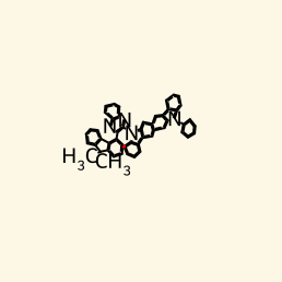 CC1(C)c2ccccc2-c2c(-c3nc4ccccc4nc3-n3c4ccccc4c4cc5cc6c(cc5cc43)c3ccccc3n6-c3ccccc3)cccc21